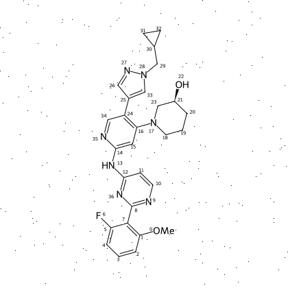 COc1cccc(F)c1-c1nccc(Nc2cc(N3CCC[C@H](O)C3)c(-c3cnn(CC4CC4)c3)cn2)n1